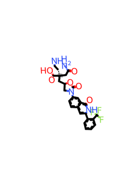 NCC[C@](CC(N)=O)(CC1CN(c2ccc3cc(-c4ccccc4C(F)(F)F)[nH]c(=O)c3c2)C(=O)O1)C(=O)O